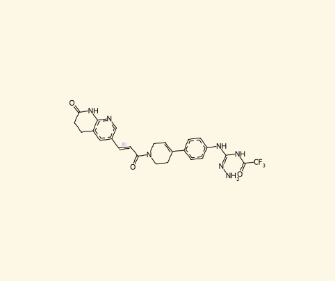 NN=C(NC(=O)C(F)(F)F)Nc1ccc(C2=CCN(C(=O)/C=C/c3cnc4c(c3)CCC(=O)N4)CC2)cc1